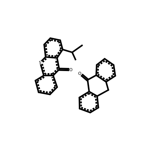 CC(C)c1cccc2sc3ccccc3c(=O)c12.O=C1c2ccccc2Cc2ccccc21